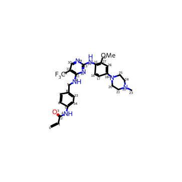 C=CC(=O)Nc1ccc(CNc2nc(Nc3ccc(N4CCN(C)CC4)cc3OC)ncc2C(F)(F)F)cc1